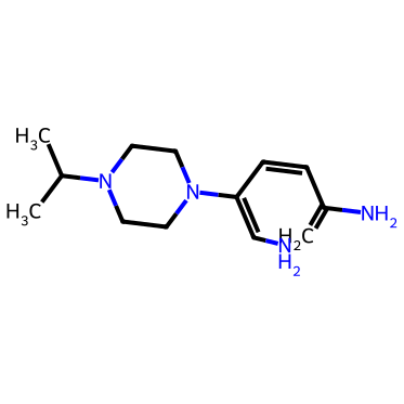 C=C(N)/C=C\C(=C/N)N1CCN(C(C)C)CC1